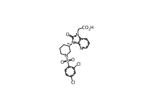 O=C(O)Cn1c(=O)n([C@@H]2CCCN(S(=O)(=O)c3ccc(Cl)cc3Cl)C2)c2ncccc21